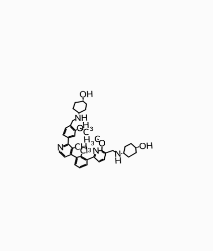 COc1cc(-c2nccc(-c3cccc(-c4ccc(CN[C@H]5CC[C@H](O)CC5)c(OC)n4)c3Cl)c2C)ccc1CN[C@H]1CC[C@H](O)CC1